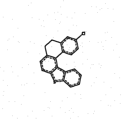 Clc1ccc2c(c1)CCc1ccc3sc4ccccc4c3c1-2